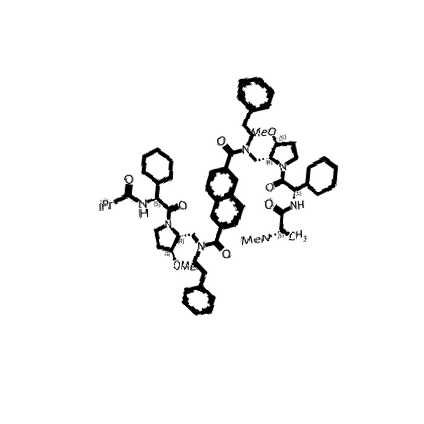 CN[C@@H](C)C(=O)N[C@H](C(=O)N1CC[C@H](OC)[C@H]1CN(CCc1ccccc1)C(=O)c1ccc2cc(C(=O)N(CCc3ccccc3)C[C@@H]3[C@@H](OC)CCN3C(=O)[C@@H](NC(=O)C(C)C)C3CCCCC3)ccc2c1)C1CCCCC1